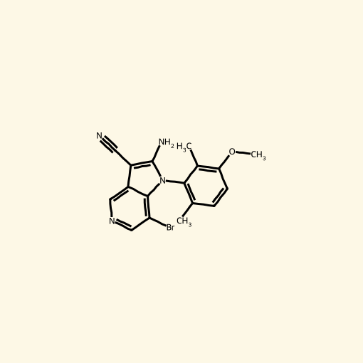 COc1ccc(C)c(-n2c(N)c(C#N)c3cncc(Br)c32)c1C